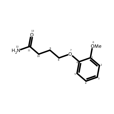 COc1ccccc1OCCCC(N)=O